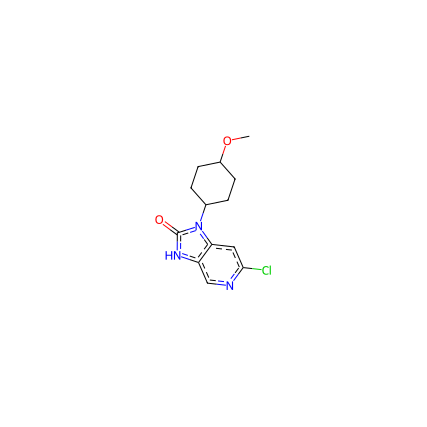 COC1CCC(n2c(=O)[nH]c3cnc(Cl)cc32)CC1